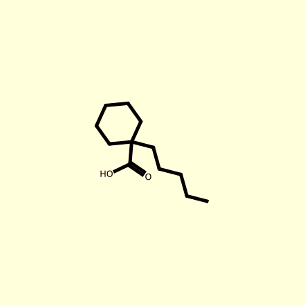 CCCCCC1(C(=O)O)CCCCC1